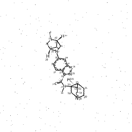 CN1C[C@@H]2C[C@H]1CN2c1ccc2c(C(=O)N(C)[C@@H]3CN4CCC3CC4)nsc2c1